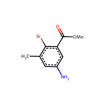 COC(=O)c1cc(N)cc(C)c1Br